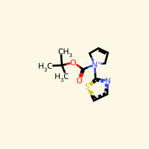 CC(C)(C)OC(=O)[N+]1(c2nccs2)CC=CC1